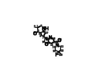 C=C(C)C(=O)C1=CC(N2COc3cc(C(=O)N4CCC(C)(F)CC4)cnc32)=CC1=N